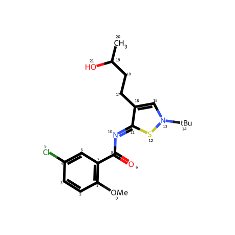 COc1ccc(Cl)cc1C(=O)/N=c1\sn(C(C)(C)C)cc1CCC(C)O